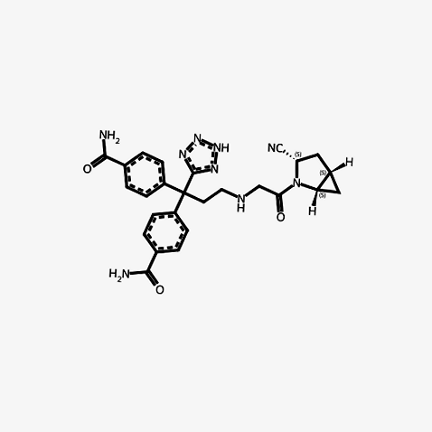 N#C[C@@H]1C[C@@H]2C[C@@H]2N1C(=O)CNCCC(c1ccc(C(N)=O)cc1)(c1ccc(C(N)=O)cc1)c1nn[nH]n1